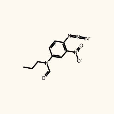 CCCN(C=O)c1ccc(N=[N+]=[N-])c([N+](=O)[O-])c1